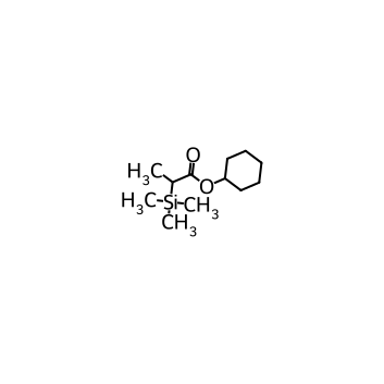 CC(C(=O)OC1CCCCC1)[Si](C)(C)C